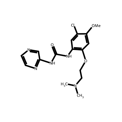 COc1cc(OCCN(C)C)c(NC(=O)Nc2cnccn2)cc1Cl